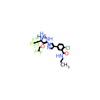 CCCNC(=O)c1cc(-c2cnn(/C(NC)=C(\OCC(F)F)C(=N)C(F)(F)C(F)(F)F)c2)ccc1Cl